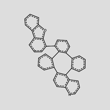 c1ccc2c(c1)-c1ccc3ncccc3c1-c1ccccc1-c1cccc(-c3cccc4c3oc3ccccc34)c1-2